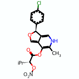 CC1=C(OC(=O)[C@H](O[N+](=O)[O-])C(C)C)C2=CO[C@@H](c3ccc(Cl)cc3)C2=CN1